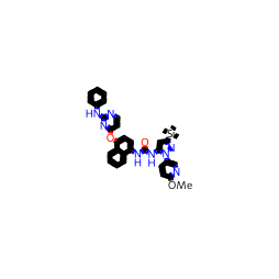 COc1ccc(-n2nc([Si](C)(C)C)cc2NC(=O)Nc2ccc(Oc3ccnc(Nc4ccccc4)n3)c3ccccc23)cn1